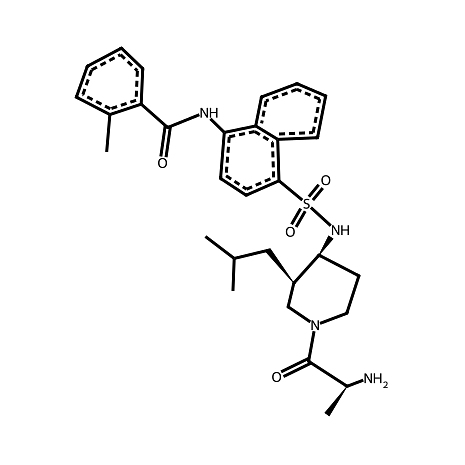 Cc1ccccc1C(=O)Nc1ccc(S(=O)(=O)N[C@H]2CCN(C(=O)[C@H](C)N)C[C@H]2CC(C)C)c2ccccc12